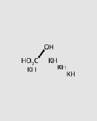 O=C(O)O.[KH].[KH].[KH].[KH]